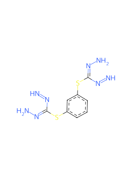 N=NC(=NN)Sc1cccc(SC(N=N)=NN)c1